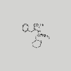 C[C@H]([C@@H](N)CC1CCCCC1)N(Cc1ccccc1)C(=O)O